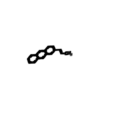 CC=Cc1ccc2cc3ccccc3cc2c1